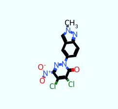 Cn1cc2cc(-n3nc([N+](=O)[O-])c(Cl)c(Cl)c3=O)ccc2n1